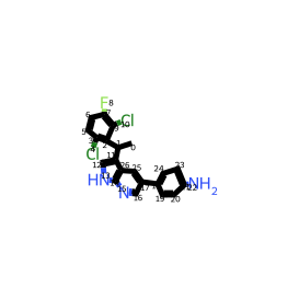 CC(c1c(Cl)ccc(F)c1Cl)c1c[nH]c2ncc(-c3ccc(N)cc3)cc12